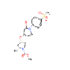 CC[C@@H]1C[C@H](Oc2ccn(-c3ccc(S(C)(=O)=O)cc3)c(=O)c2)CCN1C(=O)OC(C)C